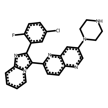 Fc1ccc(Cl)cc1-c1nc2ccccn2c1-c1ccc2ncc(N3CCNCC3)cc2n1